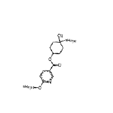 CCCCCCCOc1ccc(C(=O)OC2CCC(C#N)(CCCCCCC)CC2)cn1